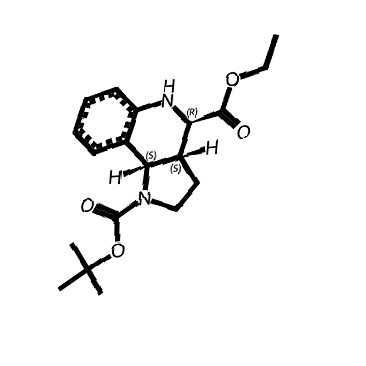 CCOC(=O)[C@@H]1Nc2ccccc2[C@@H]2[C@H]1CCN2C(=O)OC(C)(C)C